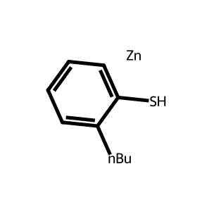 CCCCc1ccccc1S.[Zn]